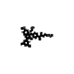 CC(C)CC[C@H](c1ccc(C(=O)NCCC(=O)O)cc1)N1C(=O)C(c2cc(F)cc(Cl)c2)=NC12CCC(C(C)(C)C)CC2